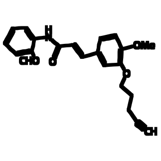 C#CCCCOc1cc(/C=C/C(=O)Nc2ccccc2C=O)ccc1OC